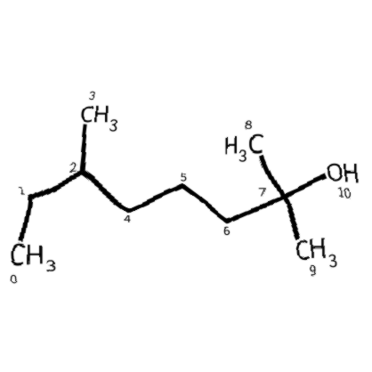 CCC(C)CCCC(C)(C)O